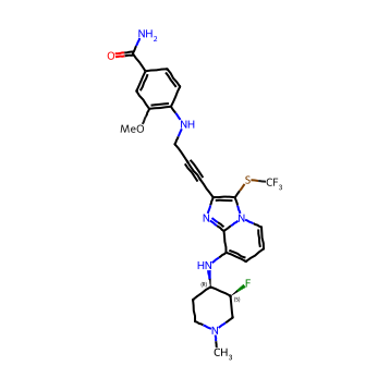 COc1cc(C(N)=O)ccc1NCC#Cc1nc2c(N[C@@H]3CCN(C)C[C@@H]3F)cccn2c1SC(F)(F)F